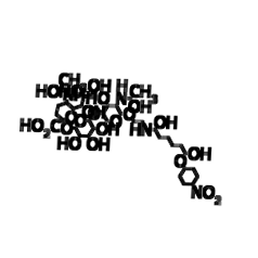 CC(O)N[C@@H]1CC[C@](OC2O[C@@H](O[C@@H]3CO[C@@H](OCCNC(O)CCCCC(O)OC4CCC([N+](=O)[O-])CC4)C(N[C@@H](C)O)C3O)C(O)C(O)[C@H]2O)(C(=O)O)OC1C(O)C(O)CO